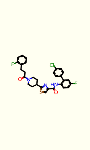 O=C(Nc1ccc(F)cc1-c1ccc(Cl)cc1)c1csc(C2CCN(C(=O)CCc3ccccc3F)CC2)n1